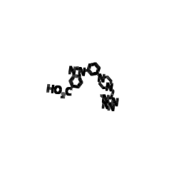 Cn1nnnc1CN1CCN(c2cccc(-n3cnc4cc(C(=O)O)ccc43)c2)CC1